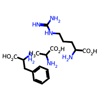 CC(N)C(=O)O.N=C(N)NCCCC(N)C(=O)O.NC(Cc1ccccc1)C(=O)O